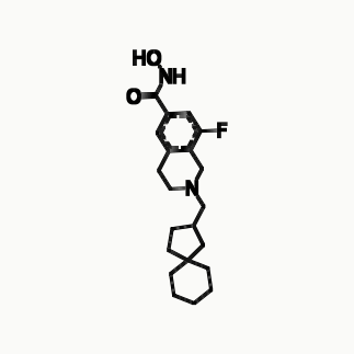 O=C(NO)c1cc(F)c2c(c1)CCN(CC1CCC3(CCCCC3)C1)C2